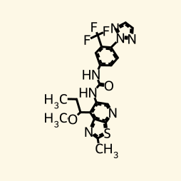 CCC(OC)c1c(NC(=O)Nc2ccc(-n3nccn3)c(C(F)(F)F)c2)cnc2sc(C)nc12